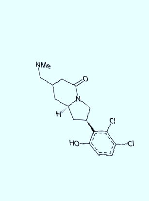 CNCC1CC(=O)N2C[C@@H](c3c(O)ccc(Cl)c3Cl)C[C@H]2C1